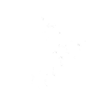 CN1CCc2c(c(-c3ccc(F)cc3)nn2CCCc2ccccc2)C1